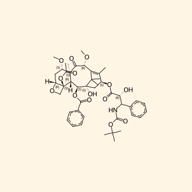 CO[C@H]1C(=O)[C@]2(C)[C@@H](OC)C[C@H]3OC[C@@]3(OC(C)=O)[C@H]2[C@H](OC(=O)c2ccccc2)[C@]2(O)C[C@H](OC(=O)[C@H](O)C(NC(=O)OC(C)(C)C)c3ccccc3)C(C)=C1C2(C)C